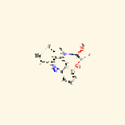 CC1Oc2cccc3nc4c(c(c23)N(C)C1=O)CCCC4